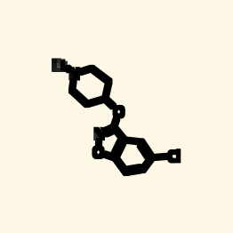 CCN1CCC(Oc2noc3ccc(Cl)cc23)CC1